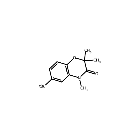 CN1C(=O)C(C)(C)Oc2ccc(C(C)(C)C)cc21